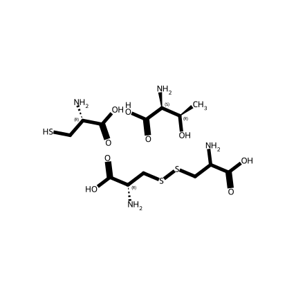 C[C@@H](O)[C@H](N)C(=O)O.NC(CSSC[C@H](N)C(=O)O)C(=O)O.N[C@@H](CS)C(=O)O